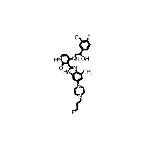 Cc1cc(N2CCN(CCCF)CC2)cc2[nH]c(-c3c(NCC(O)c4ccc(F)c(Cl)c4)cc[nH]c3=O)nc12